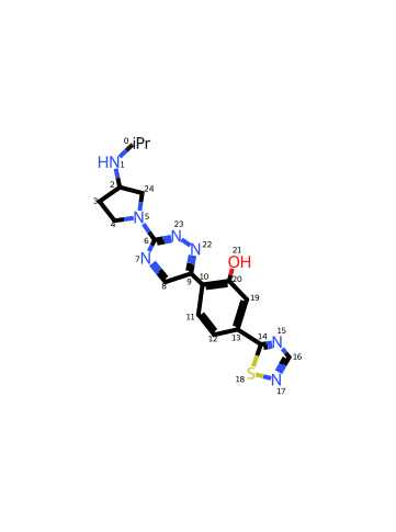 CC(C)NC1CCN(c2ncc(-c3ccc(-c4ncns4)cc3O)nn2)C1